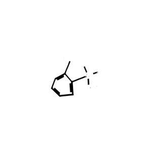 CCCCC[N+](CC)(CC)c1ccccc1C.[Cl-]